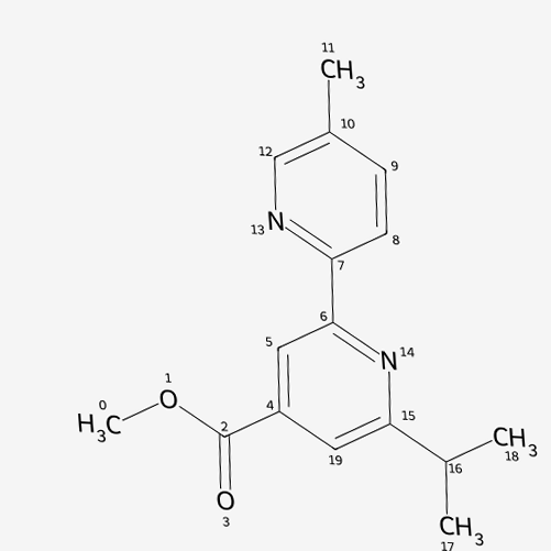 COC(=O)c1cc(-c2ccc(C)cn2)nc(C(C)C)c1